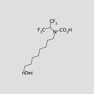 CCCCCCCCCCCCCCCCCCN(C(=O)O)C(C(F)(F)F)C(F)(F)F